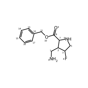 NCC1C(F)CNC1C(=O)OCc1ccccc1